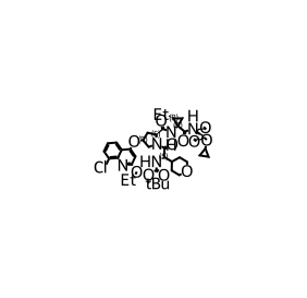 CCOc1cc(O[C@@H]2C[C@@H](C(=O)N[C@]3(C(=O)NS(=O)(=O)OC4CC4)C[C@H]3CC)N(C(=O)[C@@H](NC(=O)OC(C)(C)C)C3CCOCC3)C2)c2cccc(Cl)c2n1